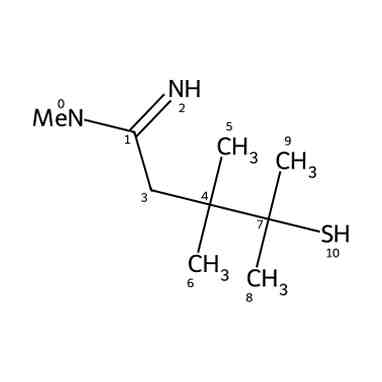 CNC(=N)CC(C)(C)C(C)(C)S